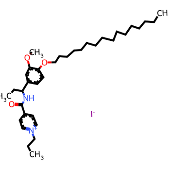 CCCCCCCCCCCCCCCCOc1ccc(C(CC)NC(=O)c2cc[n+](CCC)cc2)cc1OC.[I-]